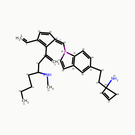 C=CC1=C(C(=C)CC(CCCC)NC)/C(=C\p2ccc3cc(CCC4(N)C=CC4)ccc32)C=C1